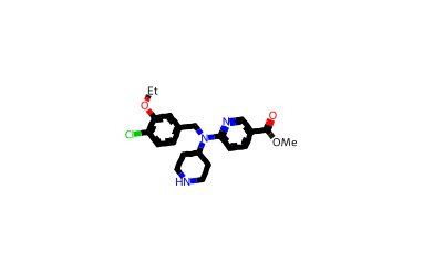 CCOc1cc(CN(c2ccc(C(=O)OC)cn2)C2CCNCC2)ccc1Cl